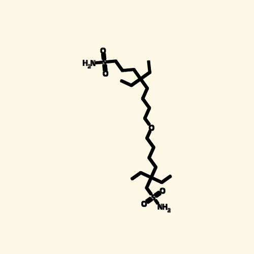 CCC(CC)(CCCCOCCCCC(CC)(CC)CS(N)(=O)=O)CCCS(N)(=O)=O